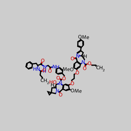 C=CCOC(=O)N1C[C@@H]2CC(c3ccc(OC)cc3)=CN2C(=O)c2cc(OC)c(OCCCOc3cc4c(cc3OC)C(=O)N3CC5(CC5)C[C@H]3C(O)N4C(=O)OCc3ccc(NC(=O)CNC(=O)C(Cc4ccccc4)NC(=O)CC=C)cc3)cc21